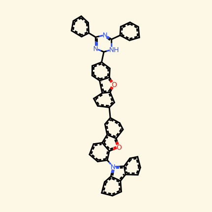 c1ccc(C2=NC(c3ccc4c(c3)oc3cc(-c5ccc6oc7c(-n8c9ccccc9c9ccccc98)cccc7c6c5)ccc34)NC(c3ccccc3)=N2)cc1